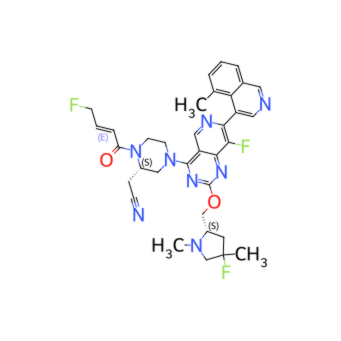 Cc1cccc2cncc(-c3ncc4c(N5CCN(C(=O)/C=C/CF)[C@@H](CC#N)C5)nc(OC[C@@H]5CC(C)(F)CN5C)nc4c3F)c12